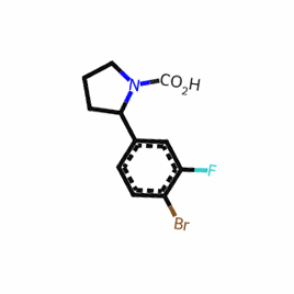 O=C(O)N1CCCC1c1ccc(Br)c(F)c1